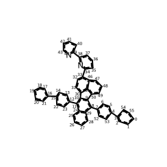 c1ccc(-c2ccc(-c3c4c(c(-c5ccc(-c6ccccc6)cc5)c5ccccc35)-c3ccc(-c5cccc(-c6ccccn6)n5)c5cccc-4c35)cc2)cc1